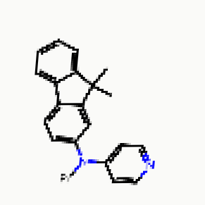 CC(C)N(c1ccncc1)c1ccc2c(c1)C(C)(C)c1ccccc1-2